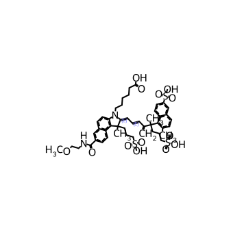 C=C(/C=C/C=C1/N(CCCCCC(=O)O)c2ccc3cc(C(=O)NCCOC)ccc3c2C1(C)CCCS(=O)(=O)O)C(C)(CCCS(=O)(=O)O)c1c(C)ccc2cc(S(=O)(=O)O)ccc12